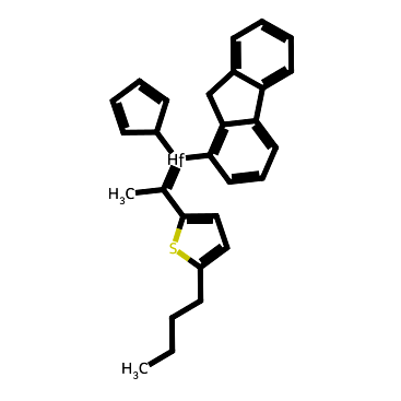 CCCCc1ccc([C](C)=[Hf]([c]2cccc3c2Cc2ccccc2-3)[CH]2C=CC=C2)s1